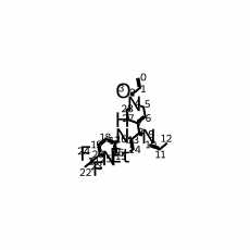 C=CC(=O)N1CC=C(C(=N/C=C\C)/C(=C/CC)Nc2ccc(C(C)(F)F)nc2)CC1